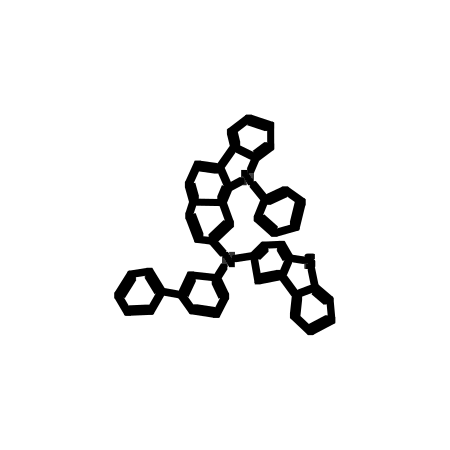 c1ccc(-c2cccc(N(c3ccc4sc5ccccc5c4c3)c3ccc4ccc5c6ccccc6n(-c6ccccc6)c5c4c3)c2)cc1